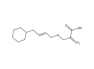 C=C(COCC=CCC1CCCCC1)C(=O)O